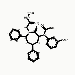 CSc1cccc(N(C(N)=O)C2CC(c3ccccc3)CC(c3ccccc3)N(CC(=O)NC(C)(C)C)C2=O)c1